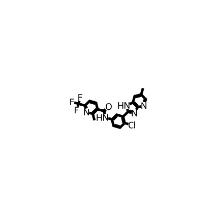 Cc1cnc2nc(-c3cc(NC(=O)c4ccc(C(F)(F)F)nc4C)ccc3Cl)[nH]c2c1